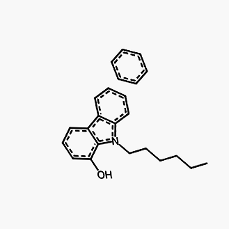 CCCCCCn1c2ccccc2c2cccc(O)c21.c1ccccc1